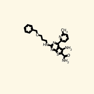 Cc1cccc(-c2nc(NCCCOCc3ccccc3)nc3sc(C(N)=O)c(N)c23)n1